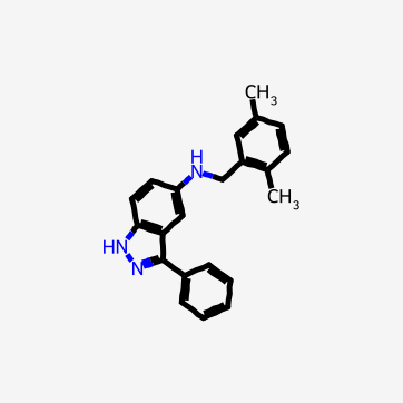 Cc1ccc(C)c(CNc2ccc3[nH]nc(-c4ccccc4)c3c2)c1